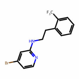 FC(F)(F)c1ccccc1CCNc1cc(Br)ccn1